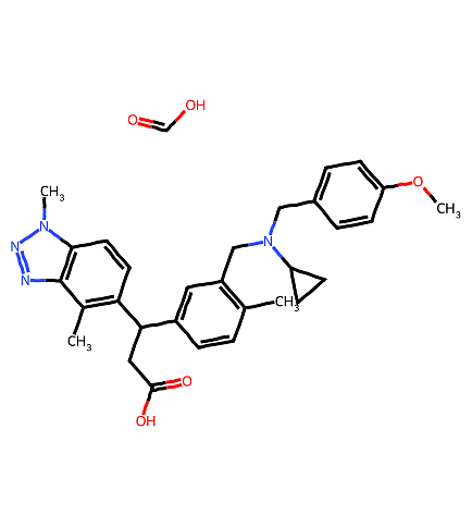 COc1ccc(CN(Cc2cc(C(CC(=O)O)c3ccc4c(nnn4C)c3C)ccc2C)C2CC2)cc1.O=CO